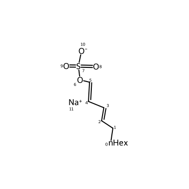 CCCCCCC/C=C/C=C/OS(=O)(=O)[O-].[Na+]